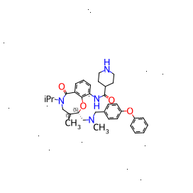 CC(C)N1C[C@H](C)[C@@H](CN(C)Cc2ccc(Oc3ccccc3)cc2)Oc2c(NC(=O)C3CCNCC3)cccc2C1=O